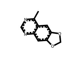 Cc1ncnc2cc3c(cc12)OCO3